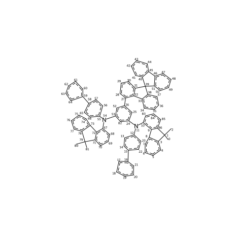 CC1(C)c2ccccc2-c2c(N(c3ccc(-c4ccccc4)cc3)c3cc(-c4cccc5c4-c4ccccc4C54c5ccccc5-c5ccccc54)cc(N(c4ccc(-c5ccccc5)cc4)c4cccc5c4-c4ccccc4C5(C)C)c3)cccc21